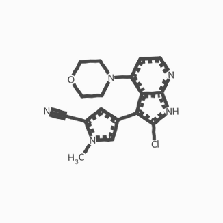 Cn1cc(-c2c(Cl)[nH]c3nccc(N4CCOCC4)c23)cc1C#N